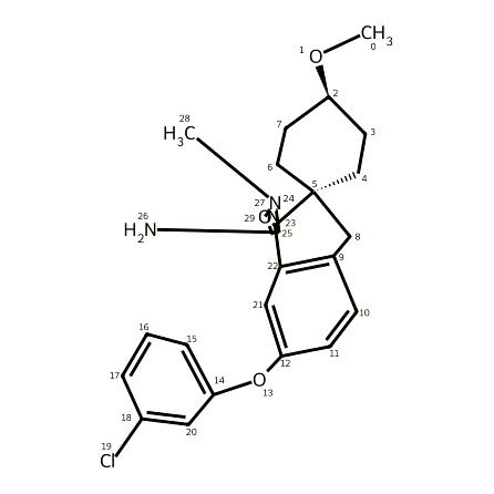 CO[C@H]1CC[C@]2(CC1)Cc1ccc(Oc3cccc(Cl)c3)cc1C21N=C(N)N(C)O1